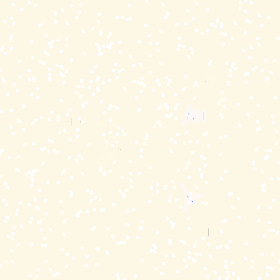 CCn1ccc2c(NS(=O)(=O)CCCCl)cc(C(=O)OC)cc21